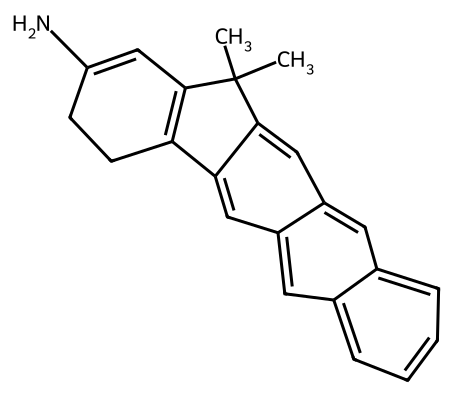 CC1(C)C2=C(CCC(N)=C2)c2cc3cc4ccccc4cc3cc21